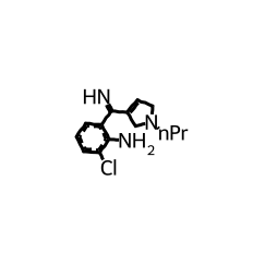 CCCN1CC=C(C(=N)c2cccc(Cl)c2N)C1